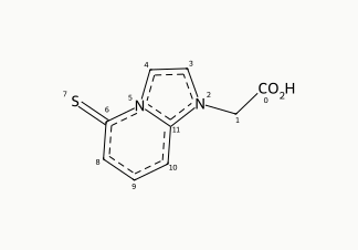 O=C(O)Cn1ccn2c(=S)cccc12